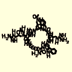 CC(=O)NCCC[C@@H]1NC(=O)[C@@H](NC(=O)[C@H](CCCNC(=N)N)NC(C)=O)CC(=O)NCCCC[C@@H](C(N)=O)NC(=O)[C@H](Cc2c[nH]c3ccccc23)NC(=O)[C@H](CCCNC(=N)N)NC(=O)[C@@H](Cc2ccccc2)NC1=O